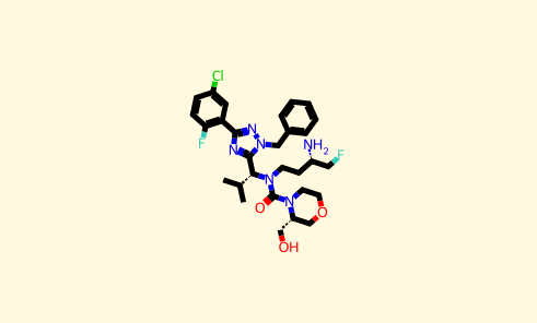 CC(C)[C@H](c1nc(-c2cc(Cl)ccc2F)nn1Cc1ccccc1)N(CC[C@H](N)CF)C(=O)N1CCOC[C@@H]1CO